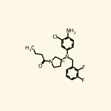 CCCC(=O)N1CC[C@H](N(Cc2cccc(F)c2F)c2ccc(N)c(Cl)c2)C1